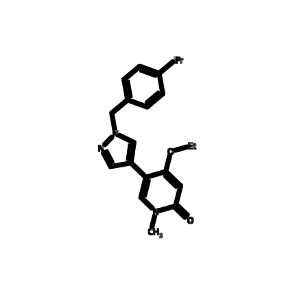 CCOc1cc(=O)n(C)cc1-c1cnn(Cc2ccc(C(C)C)cc2)c1